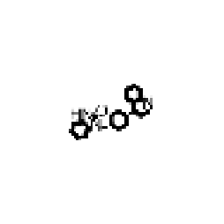 O=c1[nH]c2ccccc2n1C[C@H]1CC[C@H](c2ccnc3ccccc32)CC1